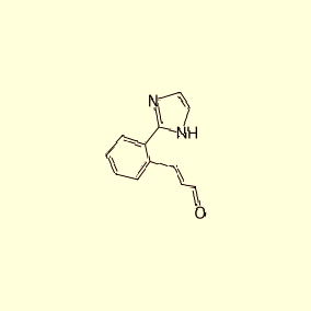 O=C/C=C/c1ccccc1-c1ncc[nH]1